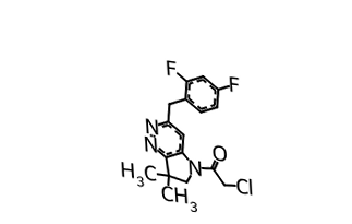 CC1(C)CN(C(=O)CCl)c2cc(Cc3ccc(F)cc3F)nnc21